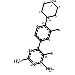 Cc1cc(-c2nc(N)nc(N)c2C)ccc1N1CCNCC1